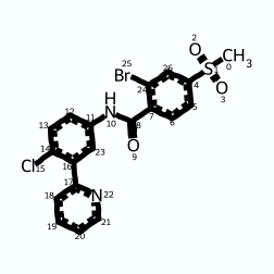 CS(=O)(=O)c1ccc(C(=O)Nc2ccc(Cl)c(-c3ccccn3)c2)c(Br)c1